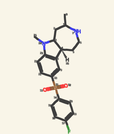 CC1CC2[C@@H](CCN1)c1cc(S(=O)(=O)c3ccc(F)cc3)ccc1N2C